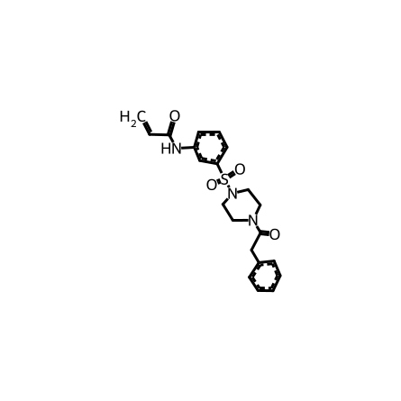 C=CC(=O)Nc1cccc(S(=O)(=O)N2CCN(C(=O)Cc3ccccc3)CC2)c1